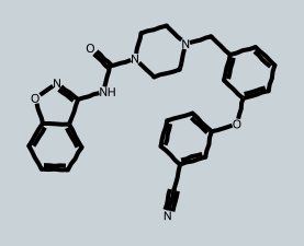 N#Cc1cccc(Oc2cccc(CN3CCN(C(=O)Nc4noc5ccccc45)CC3)c2)c1